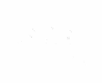 Cc1cc(C(F)(F)F)nn1C1CCN(c2cnn(-c3ccc(F)cc3)c2C(C)C)C1O